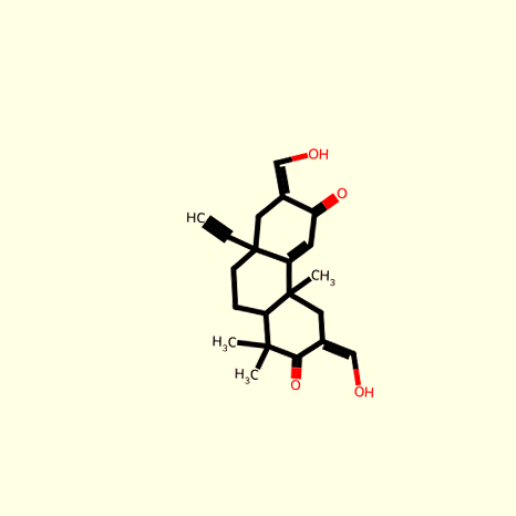 C#CC12CCC3C(C)(C)C(=O)/C(=C\O)CC3(C)C1=CC(=O)/C(=C\O)C2